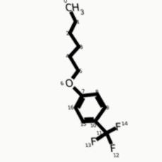 CCCCCCOc1ccc(C(F)(F)F)cc1